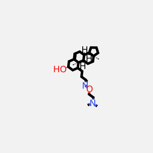 CN(C)CCO/N=C/CCC1C[C@H](O)CC2=CC[C@H]3[C@@H]4CCC[C@@]4(C)CC[C@@H]3[C@]21C